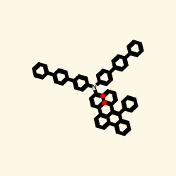 c1ccc(-c2ccc(-c3ccc(N(c4ccc(-c5ccc(-c6ccccc6)cc5)cc4)c4ccc(-c5cccc6c5c(-c5ccccc5)c(-c5ccccc5)c5ccccc56)cc4)cc3)cc2)cc1